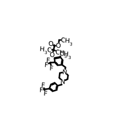 CCOC(=O)C(C)(C)Oc1c(C)cc(CN2CCN(Cc3ccc(C(F)(F)F)cc3)CC2)cc1C(F)(F)F